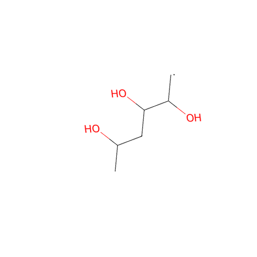 [CH2]C(O)C(O)CC(C)O